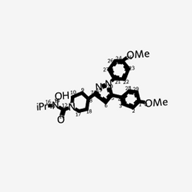 COc1ccc(-c2cc(C3CCN(C(=O)N(O)C(C)C)CC3)nn2-c2ccc(OC)cc2)cc1